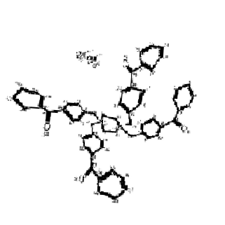 O=C(c1ccccc1)c1ccc(C[N+]2(Cc3ccc(C(=O)c4ccccc4)cc3)CC[N+](Cc3ccc(C(=O)c4ccccc4)cc3)(Cc3ccc(C(=O)c4ccccc4)cc3)CC2)cc1.[Br-].[Br-]